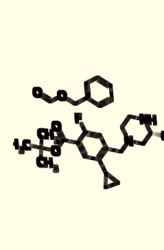 C[C@@H]1CN(Cc2cc(F)c(C(=O)OC(C)(C)C)cc2C2CC2)CCN1.O=COCc1ccccc1